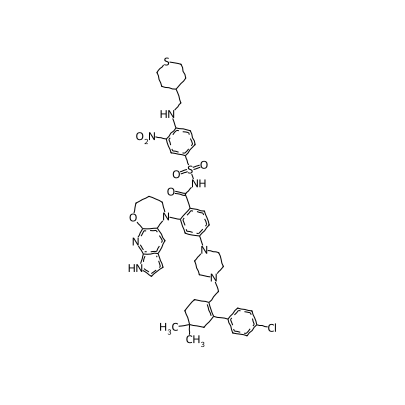 CC1(C)CCC(CN2CCN(c3ccc(C(=O)NS(=O)(=O)c4ccc(NCC5CCSCC5)c([N+](=O)[O-])c4)c(N4CCCOc5nc6[nH]ccc6cc54)c3)CC2)=C(c2ccc(Cl)cc2)C1